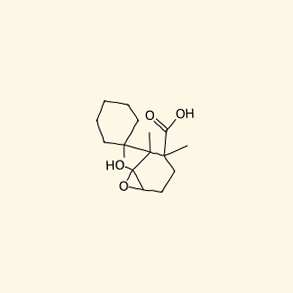 CC1(C2(C)C(C)(C(=O)O)CCC3OC32O)CCCCC1